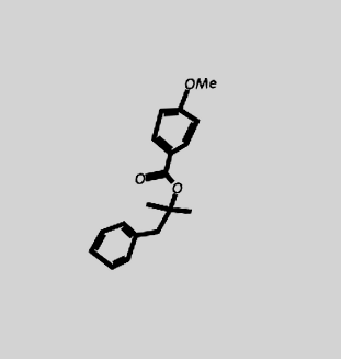 COc1ccc(C(=O)OC(C)(C)Cc2ccccc2)cc1